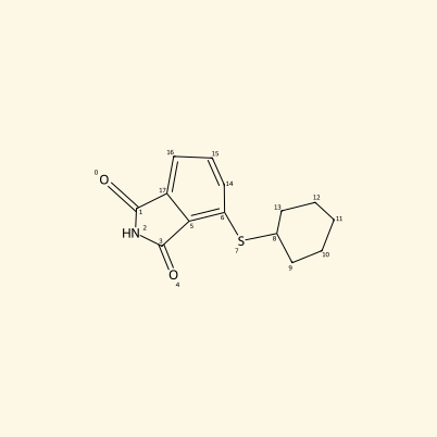 O=C1NC(=O)c2c(SC3CCCCC3)cccc21